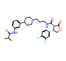 CC(C)C(=O)Nc1cccc(C2CCN(CCCNC(=O)N3C(=O)OC[C@@H]3c3ccc(F)c(F)c3)CC2)c1